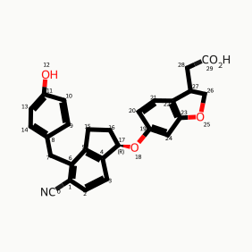 N#Cc1ccc2c(c1Cc1ccc(O)cc1)CC[C@H]2Oc1ccc2c(c1)OCC2CC(=O)O